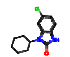 O=c1[nH]c2ccc(Cl)cc2n1C1CCCCC1